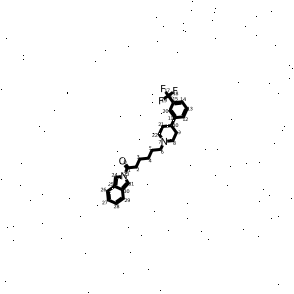 O=C(CCCCCN1CCC(c2cccc(C(F)(F)F)c2)CC1)n1cc2ccccc2c1